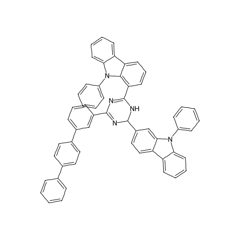 c1ccc(-c2ccc(-c3cccc(C4=NC(c5ccc6c7ccccc7n(-c7ccccc7)c6c5)NC(c5cccc6c7ccccc7n(-c7ccccc7)c56)=N4)c3)cc2)cc1